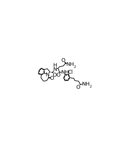 NC(=O)CCCc1cccc(NC(=O)C(CCC(N)=O)NC(=O)[C@@H]2Cc3cccc4c3N2C(=O)CCC4)c1Cl